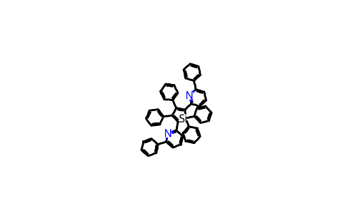 c1ccc(C2=C(c3cccc(-c4ccccc4)n3)[Si](c3ccccc3)(c3ccccc3)C(c3cccc(-c4ccccc4)n3)=C2c2ccccc2)cc1